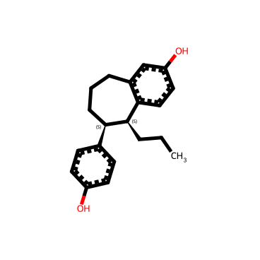 CCC[C@@H]1c2ccc(O)cc2CCC[C@@H]1c1ccc(O)cc1